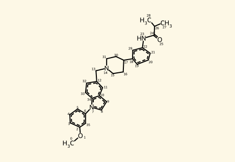 COc1cccc(-n2ccc3cc(CN4CCC(c5cccc(NC(=O)C(C)C)c5)CC4)ccc32)c1